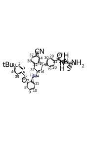 CC(C)(C)c1ccc(COc2ccccc2/C=C/C(CCc2ccc(C(=O)NNC(N)=S)cc2)Cc2ccc(C#N)cc2)cc1